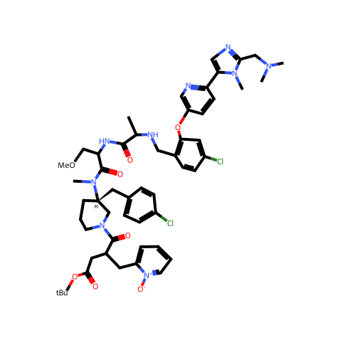 COCC(NC(=O)C(C)NCc1ccc(Cl)cc1Oc1ccc(-c2cnc(CN(C)C)n2C)nc1)C(=O)N(C)[C@@]1(Cc2ccc(Cl)cc2)CCCN(C(=O)C(CC(=O)OC(C)(C)C)Cc2cccc[n+]2[O-])C1